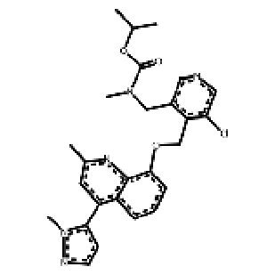 Cc1cc(-c2ccnn2C)c2cccc(OCc3c(Cl)cncc3CN(C)C(=O)OC(C)C)c2n1